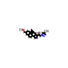 CCOCC1CCC2(C3CC3)C(CCC3C4CCC(C(=O)Cn5cc(C#N)cn5)C4(C)CCC32)C1